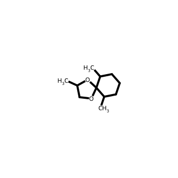 CC1COC2(O1)C(C)CCCC2C